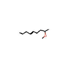 [CH2]C(CCC=CCCC)OC